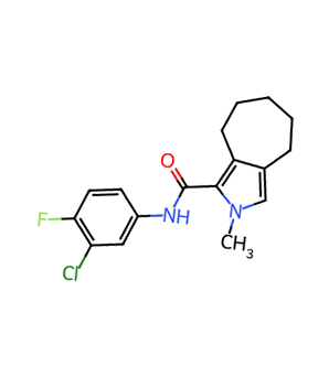 Cn1cc2c(c1C(=O)Nc1ccc(F)c(Cl)c1)CCCCC2